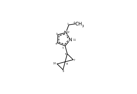 CCn1ccc(C2CC23CC3)n1